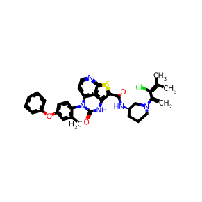 C=C(C(Cl)=C(C)C)N1CCC[C@@H](NC(=O)c2sc3nccc4c3c2NC(=O)N4c2ccc(Oc3ccccc3)cc2C)C1